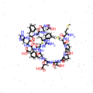 CSCC[C@@H](N)C(=O)N[C@H]1CSCc2cccc(c2)CSC[C@@H](C(=O)N[C@@H](CC(=O)O)C(=O)N[C@@H](Cc2c[nH]cn2)C(=O)N[C@@H](Cc2ccccc2)C(=O)N[C@@H](CCCNC(=N)N)C(=O)N[C@@H](CC(=O)O)C(N)=O)NC(=O)[C@H](Cc2ccccc2)NC(=O)[C@H](CCC(=O)O)NC(=O)[C@H]([C@@H](C)O)NC(=O)[C@@H]2CCCN2C(O)[C@@H]2CCCN2C1=O